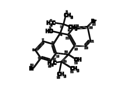 CC(C)(C)C1(O)c2ccc(Br)cc2C(O)(C(C)(C)C)c2ccc(Br)cc21